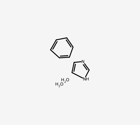 O.O.c1c[nH]cn1.c1ccccc1